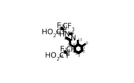 Cc1cccc(Cc2c[nH]cn2)c1C.O=C(O)C(F)(F)C(F)(F)F.O=C(O)C(F)(F)C(F)(F)F